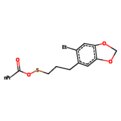 CCCC(=O)OSCCCc1cc2c(cc1CC)OCO2